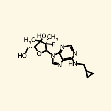 CC1(O)[C@@H](CO)OC(n2cnc3c(NCC4CC4)ncnc32)[C@]1(C)F